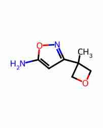 CC1(c2cc(N)on2)COC1